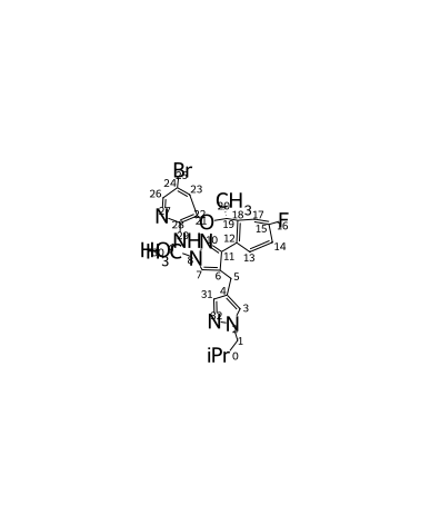 CC(C)Cn1cc(Cc2cn(C)nc2-c2ccc(F)cc2[C@@H](C)Oc2cc(Br)cnc2NO)cn1